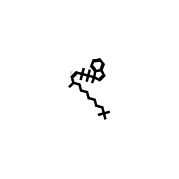 CC(/C=C\C(C)(C)C(C)(C)C1(C)C=Cc2ccccc21)CCCCCCCC(C)(C)C